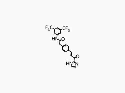 O=C(Cc1ccc(C=CC(=O)c2ncc[nH]2)cc1)Nc1cc(C(F)(F)F)cc(C(F)(F)F)c1